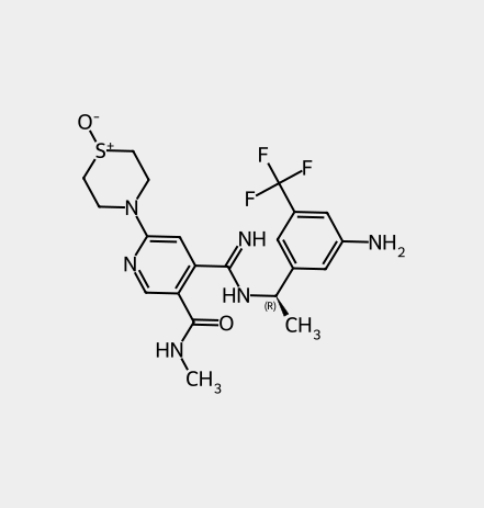 CNC(=O)c1cnc(N2CC[S+]([O-])CC2)cc1C(=N)N[C@H](C)c1cc(N)cc(C(F)(F)F)c1